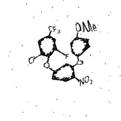 COc1ccc(Oc2cc(Oc3c(F)cc(C(F)(F)F)cc3Cl)ccc2[N+](=O)[O-])cc1